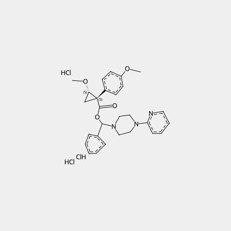 COc1ccc([C@@]2(C(=O)OC(c3ccccc3)N3CCN(c4ccccn4)CC3)C[C@@H]2OC)cc1.Cl.Cl.Cl